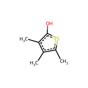 Cc1sc(O)c(C)c1C